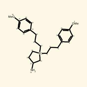 COc1ccc(CCC[N+]2(CCCc3ccc(OC)cc3)CCC(N)C2)cc1